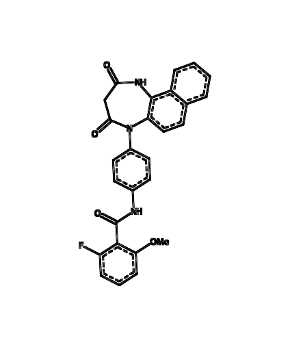 COc1cccc(F)c1C(=O)Nc1ccc(N2C(=O)CC(=O)Nc3c2ccc2ccccc32)cc1